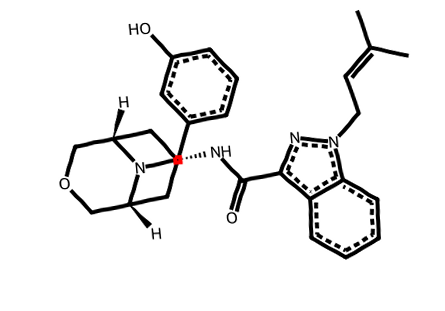 CC(C)=CCn1nc(C(=O)N[C@H]2C[C@H]3COC[C@@H](C2)N3Cc2cccc(O)c2)c2ccccc21